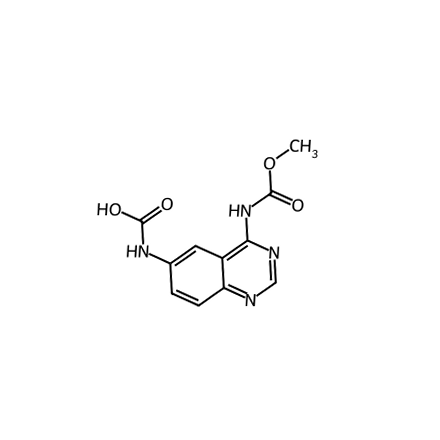 COC(=O)Nc1ncnc2ccc(NC(=O)O)cc12